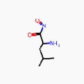 CC(C)CC(N)C(=O)N=O